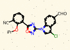 CC(C)Oc1c(C#N)cccc1-c1nc(-n2cc(Cl)c3cc(C=O)ccc32)no1